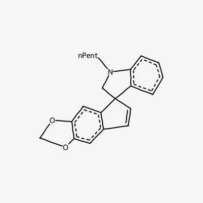 CCCCCN1CC2(C=Cc3cc4c(cc32)OCO4)c2ccccc21